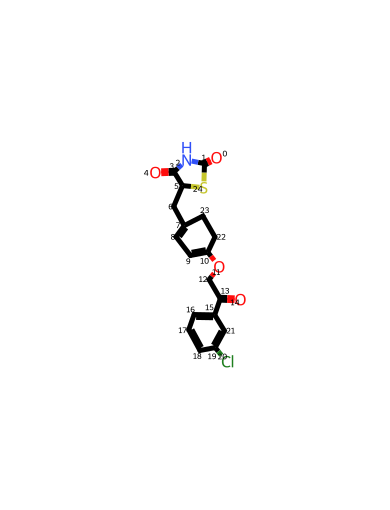 O=C1NC(=O)C(CC2=CC=C(OCC(=O)c3cccc(Cl)c3)CC2)S1